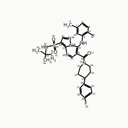 Cc1ccc(F)c(Nc2c(C(=O)N3CCC(c4ccc(F)cc4)CC3)cnc3c(S(=O)(=O)NC(C)(C)C)cnn23)c1